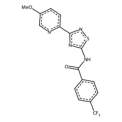 COc1ccc(-c2nsc(NC(=O)c3ccc(C(F)(F)F)cc3)n2)nc1